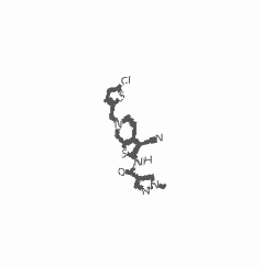 Cn1cc(C(=O)Nc2sc3c(c2C#N)CCN(Cc2ccc(Cl)s2)C3)cn1